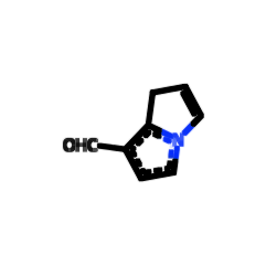 O=Cc1ccn2c1CC=C2